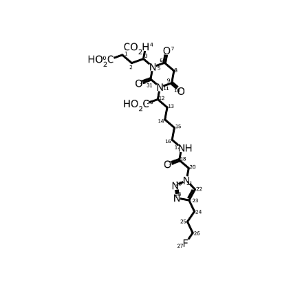 O=C(O)CCC(C(=O)O)N1C(=O)CC(=O)N(C(CCCCNC(=O)Cn2cc(CCCF)nn2)C(=O)O)C1=O